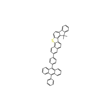 CC1(C)c2ccccc2-c2ccc3sc4c5ccc(-c6ccc(-c7c8ccccc8c(-c8ccccc8)c8ccccc78)cc6)cc5ccc4c3c21